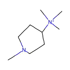 CN1CCC([N+](C)(C)C)CC1